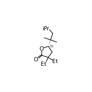 CCC1(CC)C[C@@H](C(C)(C)CC(C)C)OC1=O